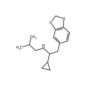 CC(C)CNC(Cc1ccc2c(c1)OCO2)C1CC1